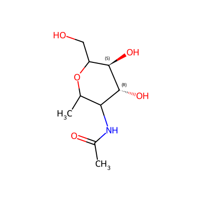 CC(=O)NC1C(C)OC(CO)[C@@H](O)[C@@H]1O